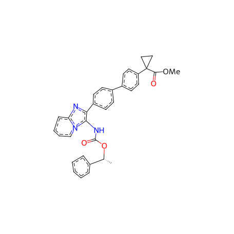 COC(=O)C1(c2ccc(-c3ccc(-c4nc5ccccn5c4NC(=O)O[C@H](C)c4ccccc4)cc3)cc2)CC1